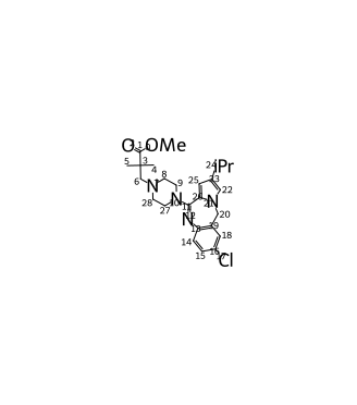 COC(=O)C(C)(C)CN1CCN(C2=Nc3ccc(Cl)cc3Cn3cc(C(C)C)cc32)CC1